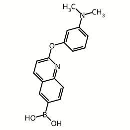 CN(C)c1cccc(Oc2ccc3cc(B(O)O)ccc3n2)c1